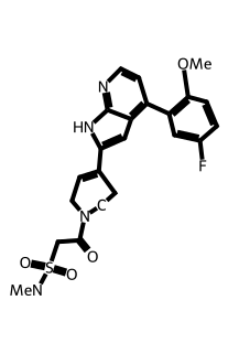 CNS(=O)(=O)CC(=O)N1CC=C(c2cc3c(-c4cc(F)ccc4OC)ccnc3[nH]2)CC1